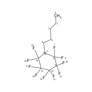 CCCCCN1C(F)(F)C(F)(F)C(F)(F)C(F)(F)C1(F)F